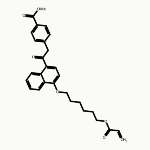 C=CC(=O)OCCCCCCOc1ccc(C(=O)Cc2ccc(C(=O)OC)cc2)c2ccccc12